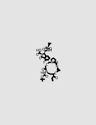 C=CC(=O)C1CCN(NC(=O)OC(C)(C)C)C(=O)CC[C@H](c2ccc3c(c2F)C(=O)N(C(=O)O)[C@H]3C(=O)NS(=O)(=O)C2CC2)N2CCC[C@H]2/C=N\C2=C(C2)C1